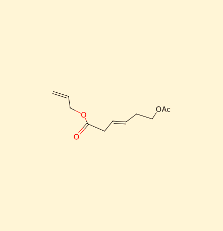 C=CCOC(=O)CC=CCCOC(C)=O